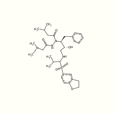 CC(C)CC(=O)N(NC(=O)CN(C)C)[C@@H](Cc1ccccc1)[C@H](O)CNC(C(C)C)S(=O)(=O)c1ccc2c(c1)CCO2